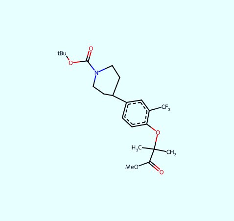 COC(=O)C(C)(C)Oc1ccc(C2CCN(C(=O)OC(C)(C)C)CC2)cc1C(F)(F)F